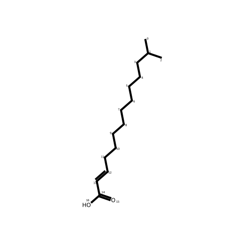 CC(C)CCCCCCCCC/C=C/C(=O)O